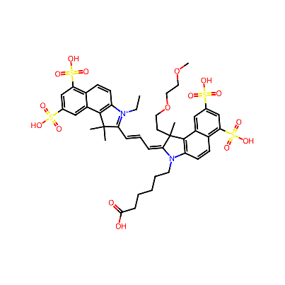 CC[N+]1=C(/C=C/C=C2/N(CCCCCC(=O)O)c3ccc4c(S(=O)(=O)O)cc(S(=O)(=O)O)cc4c3C2(C)CCOCCOC)C(C)(C)c2c1ccc1c(S(=O)(=O)O)cc(S(=O)(=O)O)cc21